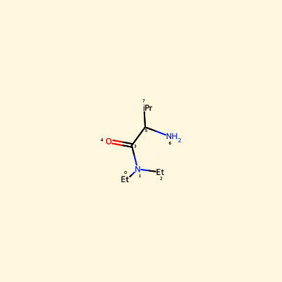 CCN(CC)C(=O)C(N)C(C)C